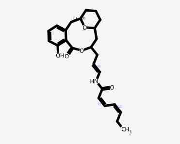 CC/C=C\C=C/C(=O)N/C=C/CC1CC2CCC[C@H](Cc3cccc(O)c3C(=O)O1)O2